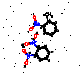 Cc1ccccc1[N+](=O)[O-].O=[N+]([O-])c1ccccc1[N+](=O)[O-]